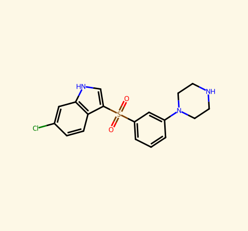 O=S(=O)(c1cccc(N2CCNCC2)c1)c1c[nH]c2cc(Cl)ccc12